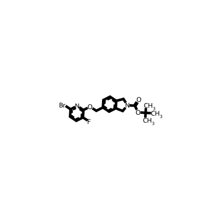 CC(C)(C)OC(=O)N1Cc2ccc(COc3nc(Br)ccc3F)cc2C1